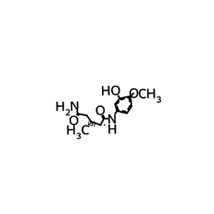 COc1ccc(NC(=O)[CH][C@H](C)CC(N)=O)cc1O